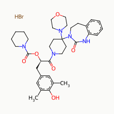 Br.Cc1cc(C[C@@H](OC(=O)N2CCCCC2)C(=O)N2CCC(N3CCOCC3)(N3CCc4ccccc4NC3=O)CC2)cc(C)c1O